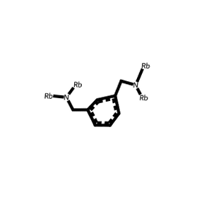 [Rb][N]([Rb])Cc1cccc(C[N]([Rb])[Rb])c1